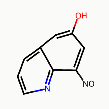 O=Nc1cc(O)cc2cccnc12